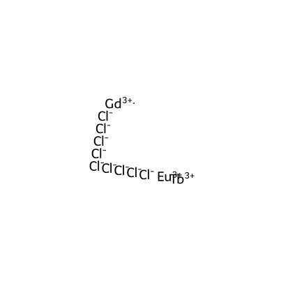 [Cl-].[Cl-].[Cl-].[Cl-].[Cl-].[Cl-].[Cl-].[Cl-].[Cl-].[Eu+3].[Gd+3].[Tb+3]